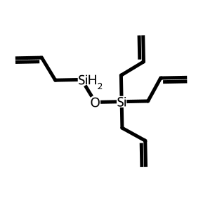 C=CC[SiH2]O[Si](CC=C)(CC=C)CC=C